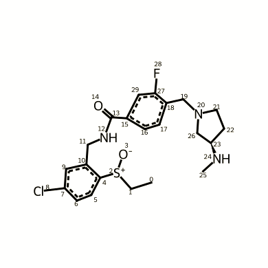 CC[S+]([O-])c1ccc(Cl)cc1CNC(=O)c1ccc(CN2CC[C@@H](NC)C2)c(F)c1